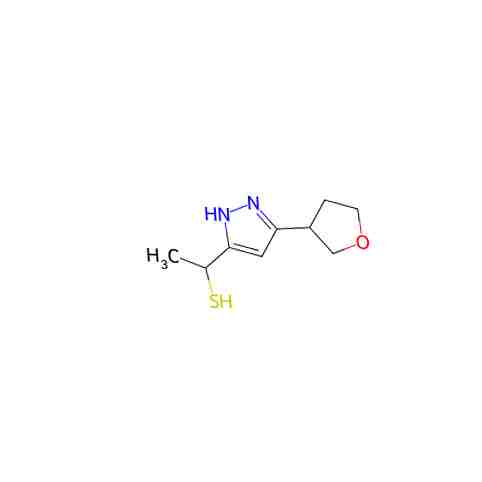 CC(S)c1cc(C2CCOC2)n[nH]1